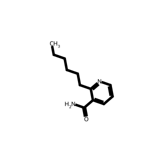 CCCCCCc1ncccc1C(N)=O